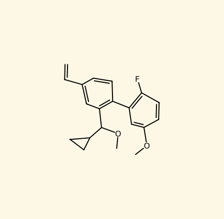 C=Cc1ccc(-c2cc(OC)ccc2F)c(C(OC)C2CC2)c1